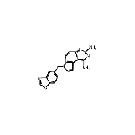 Nc1nc(N)c2c(ccc3c2ccn3Cc2ccc3ocnc3c2)n1